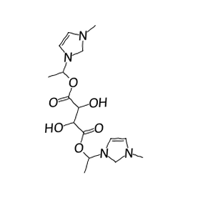 CC(OC(=O)C(O)C(O)C(=O)OC(C)N1C=CN(C)C1)N1C=CN(C)C1